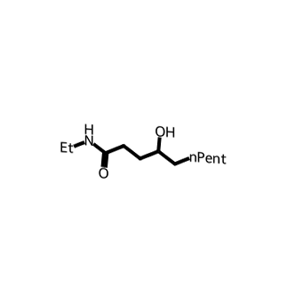 CCCCCCC(O)CCC(=O)NCC